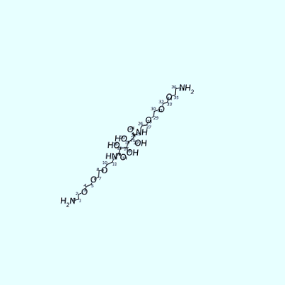 NCCOCCOCCOCCNC(=O)[C@@H](O)[C@H](O)[C@H](O)[C@@H](O)C(=O)NCCOCCOCCOCCN